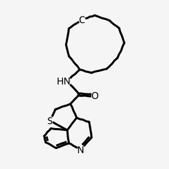 O=C(NC1CCCCCCCCCCC1)C1CSC23CC=CC=C2N=CCC13